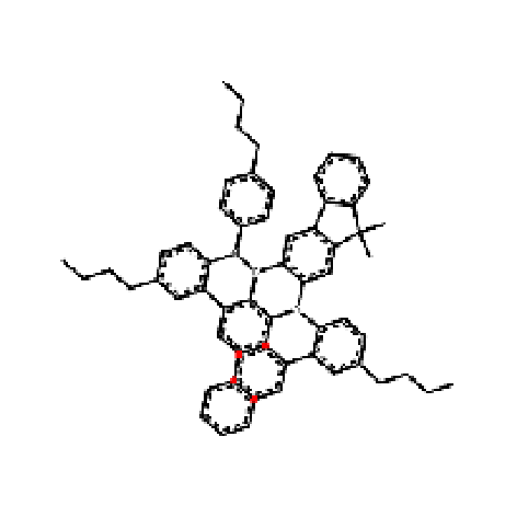 CCCCc1ccc(N2B3c4cc5c(cc4N(c4ccc(CCCC)cc4-c4ccccc4)c4cc(-c6ccccc6)cc(c43)-c3cc(CCCC)ccc32)C(C)(C)c2ccccc2-5)cc1